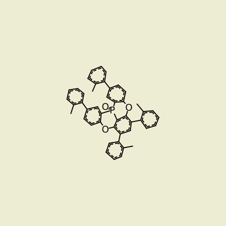 Cc1ccccc1-c1ccc2c(c1)P1(=O)c3cc(-c4ccccc4C)ccc3Oc3c(-c4ccccc4C)cc(-c4ccccc4C)c(c31)O2